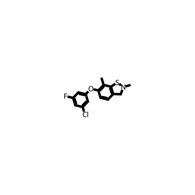 Cc1c(Oc2cc(F)cc(Cl)c2)ccc2c1SN(C)C2